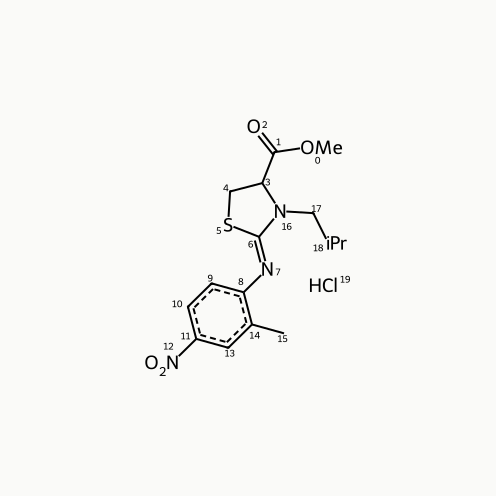 COC(=O)C1CS/C(=N\c2ccc([N+](=O)[O-])cc2C)N1CC(C)C.Cl